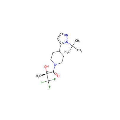 CC(C)(C)n1nccc1C1CCN(C(=O)[C@@](C)(O)C(F)(F)F)CC1